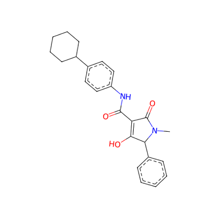 CN1C(=O)C(C(=O)Nc2ccc(C3CCCCC3)cc2)=C(O)C1c1ccccc1